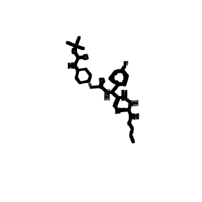 CCCCNC1=NC=C(C(NC(=O)C[C@H]2CC[C@H](NC(=O)OC(C)(C)C)CC2)c2ccc(F)cc2)NN1